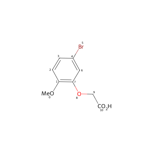 COc1ccc(Br)cc1OCC(=O)O